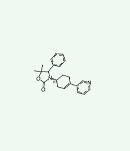 CC1(C)OC(=O)N([C@@H]2CC=C(c3cccnc3)CC2)C1c1ccccc1